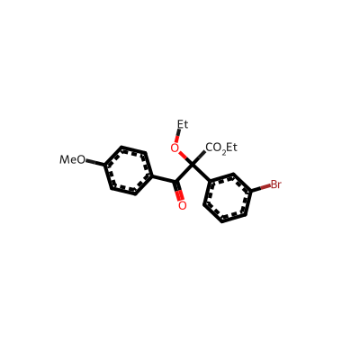 CCOC(=O)C(OCC)(C(=O)c1ccc(OC)cc1)c1cccc(Br)c1